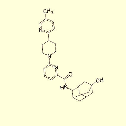 Cc1ccc(C2CCN(c3cccc(C(=O)NC4C5CC6CC4CC(O)(C6)C5)n3)CC2)nc1